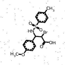 COc1ccc(C(NS(=O)(=O)c2ccc(C)cc2)C(Br)C(=O)O)cc1